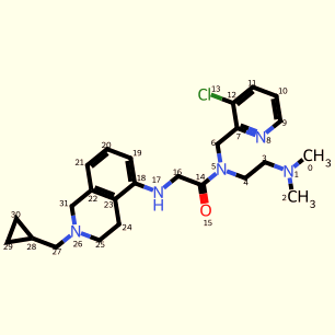 CN(C)CCN(Cc1ncccc1Cl)C(=O)CNc1cccc2c1CCN(CC1CC1)C2